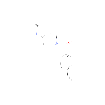 CC(C)NC1CCN(C(=O)c2ccc(C(F)(F)F)cc2)CC1